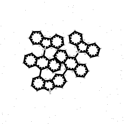 c1cc(-c2c3ccccc3c(-n3c4ccccc4c4ccccc43)c3ccccc23)c2c(c1)oc1ccc(-c3c4ccccc4c(-n4c5ccccc5c5ccccc54)c4ccccc34)cc12